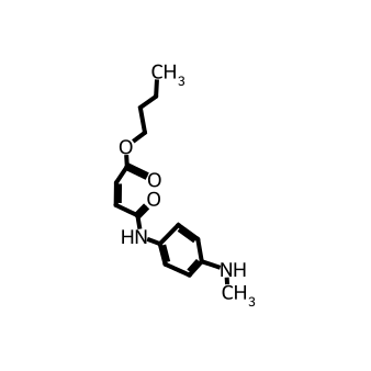 CCCCOC(=O)/C=C\C(=O)Nc1ccc(NC)cc1